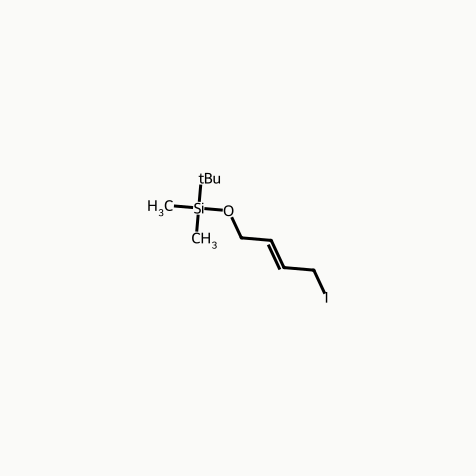 CC(C)(C)[Si](C)(C)OCC=CCI